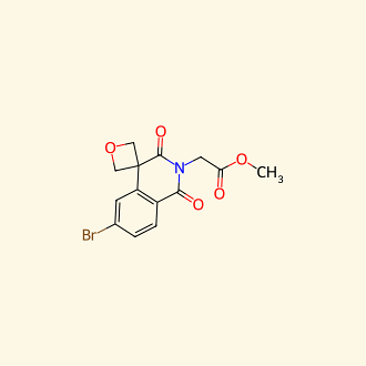 COC(=O)CN1C(=O)c2ccc(Br)cc2C2(COC2)C1=O